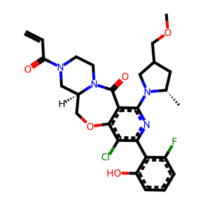 C=CC(=O)N1CCN2C(=O)c3c(N4CC(COC)C[C@@H]4C)nc(-c4c(O)cccc4F)c(Cl)c3OC[C@H]2C1